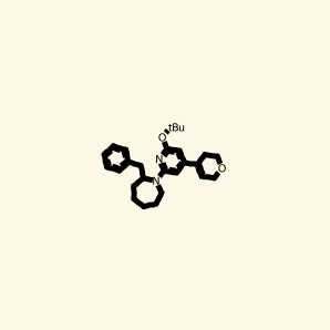 CC(C)(C)Oc1cc(C2=CCOCC2)cc(N2CCCCCC2Cc2ccccc2)n1